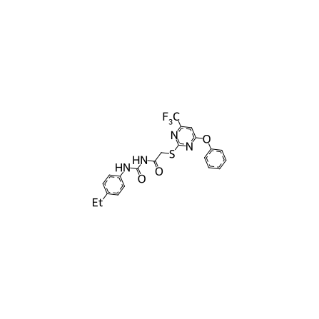 CCc1ccc(NC(=O)NC(=O)CSc2nc(Oc3ccccc3)cc(C(F)(F)F)n2)cc1